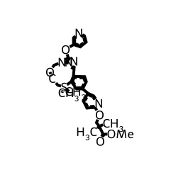 COC(=O)C(C)(C)COc1ccc(-c2ccc3c(c2)S(C)(C)CCOCn2nc-3nc2Oc2cccnc2)cn1